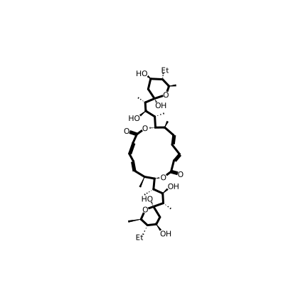 CC[C@H]1[C@H](O)C[C@](O)([C@@H](C)[C@H](O)[C@H](C)[C@H]2OC(=O)/C=C/C=C/[C@H](C)[C@@H]([C@@H](C)[C@@H](O)[C@H](C)[C@@]3(O)C[C@@H](O)[C@H](CC)[C@@H](C)O3)OC(=O)/C=C/C=C/[C@@H]2C)O[C@@H]1C